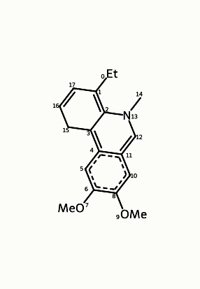 CCC1=C2C(=c3cc(OC)c(OC)cc3=CN2C)CC=C1